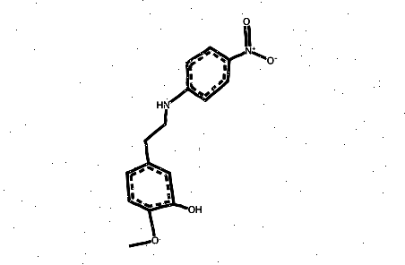 COc1ccc(CCNc2ccc([N+](=O)[O-])cc2)cc1O